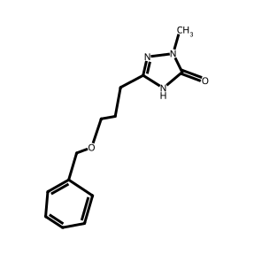 Cn1nc(CCCOCc2ccccc2)[nH]c1=O